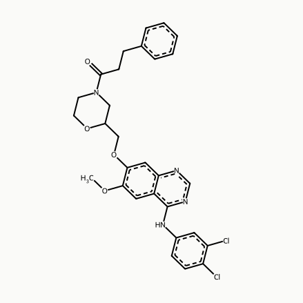 COc1cc2c(Nc3ccc(Cl)c(Cl)c3)ncnc2cc1OCC1CN(C(=O)CCc2ccccc2)CCO1